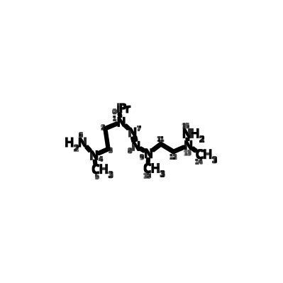 CC(C)N(CCN(C)N)N=NN(C)CCN(C)N